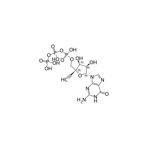 C#C[C@]1(COP(=O)(O)OP(=O)(O)OP(=O)(O)O)O[C@@H](n2cnc3c(=O)[nH]c(N)nc32)[C@H](O)[C@@H]1O